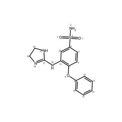 NS(=O)(=O)c1ccc(Oc2ccccc2)c(NC2=NCCN2)c1